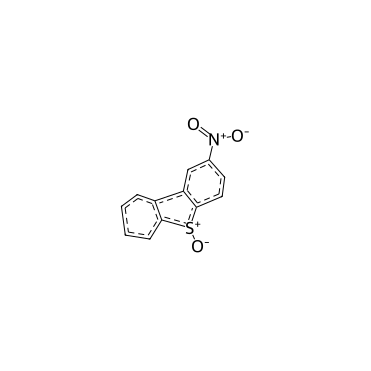 O=[N+]([O-])c1ccc2c(c1)c1ccccc1[s+]2[O-]